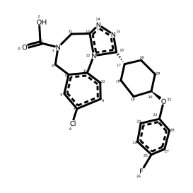 O=C(O)N1Cc2cc(Cl)ccc2-n2c(nnc2[C@H]2CC[C@H](Oc3ccc(F)cc3)CC2)C1